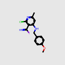 COc1ccc(CNc2cc(C)nc(Cl)c2C(=N)I)cc1